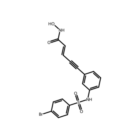 O=C(C=CC#Cc1cccc(NS(=O)(=O)c2ccc(Br)cc2)c1)NO